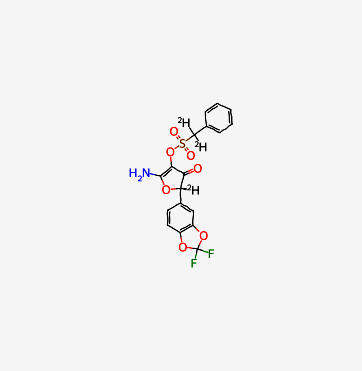 [2H]C([2H])(c1ccccc1)S(=O)(=O)OC1=C(N)O[C@@]([2H])(c2ccc3c(c2)OC(F)(F)O3)C1=O